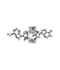 Cn1cnc2c(ncn2[C@@H]2C[C@@H]3OP(=O)(O)C[C@H]4[C@@H](F)[C@H](n5cnc6c(N)ncnc65)O[C@@H]4COP(=O)(O)O[C@@H]2[C@@H]3O)c1=O